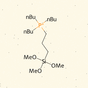 CCCC[P+](CCCC)(CCCC)CCC[Si](OC)(OC)OC